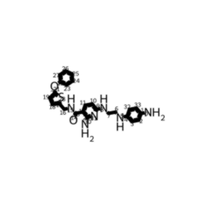 Nc1ccc(NCCNc2ccc(C(=O)NCc3ccc(Oc4ccccc4)s3)c(N)n2)cc1